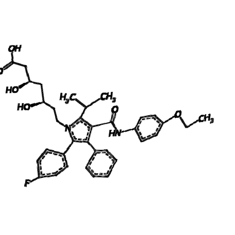 CCOc1ccc(NC(=O)c2c(-c3ccccc3)c(-c3ccc(F)cc3)n(CC[C@@H](O)C[C@@H](O)CC(=O)O)c2C(C)C)cc1